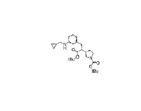 CC(C)(C)OC(=O)[C@@H](Cc1cccc(NCC2CC2)c1)[C@H]1CCN(C(=O)OC(C)(C)C)C1